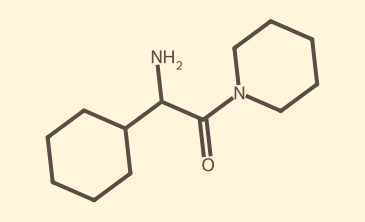 NC(C(=O)N1CCCCC1)C1CCCCC1